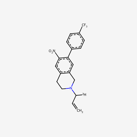 [2H]C(C=C)N1CCc2cc([N+](=O)[O-])c(-c3ccc(C(F)(F)F)cc3)cc2C1